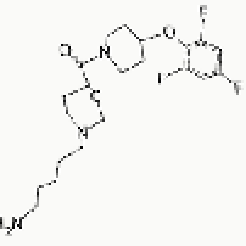 NCCCCCN1CCC(C(=O)N2CCC(Oc3c(F)cc(F)cc3F)CC2)CC1